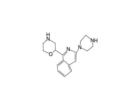 c1ccc2c(C3CNCCO3)nc(N3CCNCC3)cc2c1